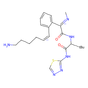 C/N=C(/C(=O)NC(C(=O)Nc1nncs1)C(C)(C)C)c1ccccc1/C=C\CCCCN